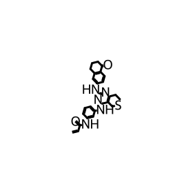 C=CC(=O)Nc1cccc(Nc2nc(Nc3ccc4c(c3)CCCC4=O)nc3c2CSCC3)c1